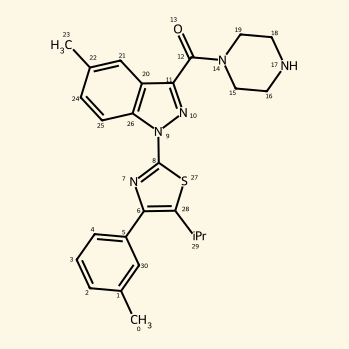 Cc1cccc(-c2nc(-n3nc(C(=O)N4CCNCC4)c4cc(C)ccc43)sc2C(C)C)c1